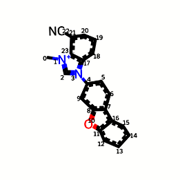 C[n+]1cn(-c2ccc3c(c2)oc2ccccc23)c2cccc(C#N)c21